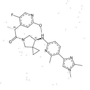 COc1cc([C@@H](C)C(=O)N2C[C@@H](Nc3ccc(-c4cn(C)c(C)n4)c(C)n3)C3(CC3)C2)c(F)cn1